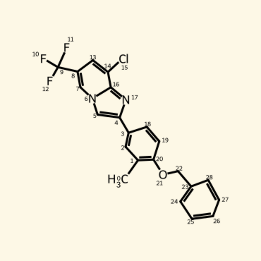 Cc1cc(-c2cn3cc(C(F)(F)F)cc(Cl)c3n2)ccc1OCc1ccccc1